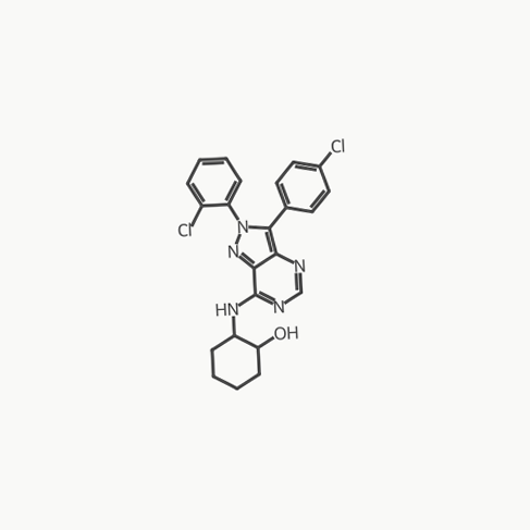 OC1CCCCC1Nc1ncnc2c(-c3ccc(Cl)cc3)n(-c3ccccc3Cl)nc12